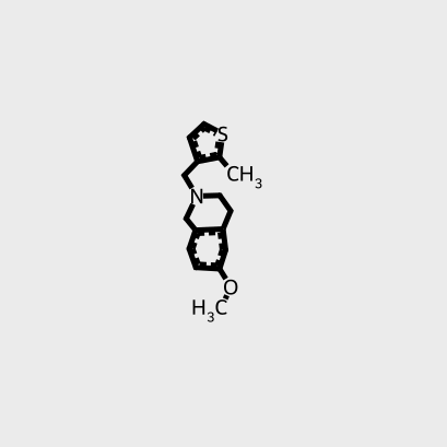 COc1ccc2c(c1)CCN(Cc1ccsc1C)C2